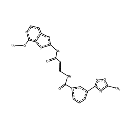 CCC(C)Oc1nccc2nc(NC(=O)C=CNC(=O)c3cccc(-c4noc(C)n4)c3)sc12